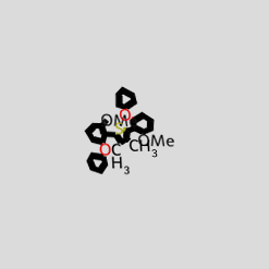 COc1cccc(Oc2ccccc2)c1-c1sc(-c2c(OC)cccc2Oc2ccccc2)c(C)c1C